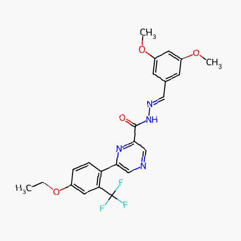 CCOc1ccc(-c2cncc(C(=O)NN=Cc3cc(OC)cc(OC)c3)n2)c(C(F)(F)F)c1